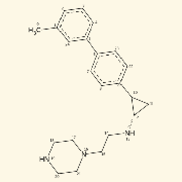 Cc1cccc(-c2ccc(C3C[C@@H]3NCCN3CCNCC3)cc2)c1